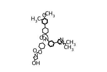 COc1ccc(C2CCC(F)(CN(c3cccc(-c4cnn(C(C)C)c4)c3)C(=O)[C@H]3CC[C@H](OC(=O)N4CC(O)C4)CC3)CC2)cc1C